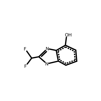 Oc1cccc2c1N=C(C(F)F)[N]2